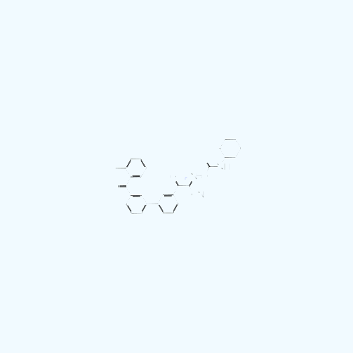 Cc1ccccc1C(=O)c1cccc(-c2cccc(C(=O)/C(C#N)=N/OC(=O)NC3CCCCC3)c2)c1